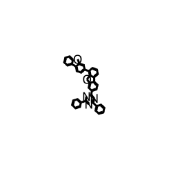 c1ccc(-c2nc(-c3ccccc3)nc(-c3ccc4c(c3)oc3c(-c5ccc6c(c5)oc5ccccc56)cccc34)n2)cc1